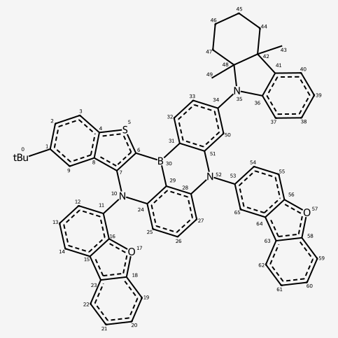 CC(C)(C)c1ccc2sc3c(c2c1)N(c1cccc2c1oc1ccccc12)c1cccc2c1B3c1ccc(N3c4ccccc4C4(C)CCCCC34C)cc1N2c1ccc2oc3ccccc3c2c1